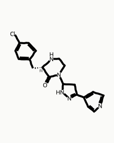 O=C1[C@H](Cc2ccc(Cl)cc2)NCCN1C1CC(c2ccncc2)=NN1